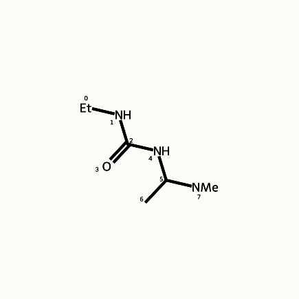 CCNC(=O)NC(C)NC